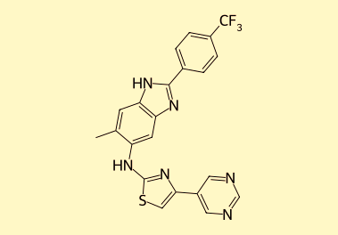 Cc1cc2[nH]c(-c3ccc(C(F)(F)F)cc3)nc2cc1Nc1nc(-c2cncnc2)cs1